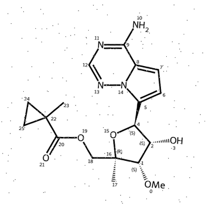 CO[C@H]1[C@@H](O)[C@H](c2ccc3c(N)ncnn23)O[C@]1(C)COC(=O)C1(C)CC1